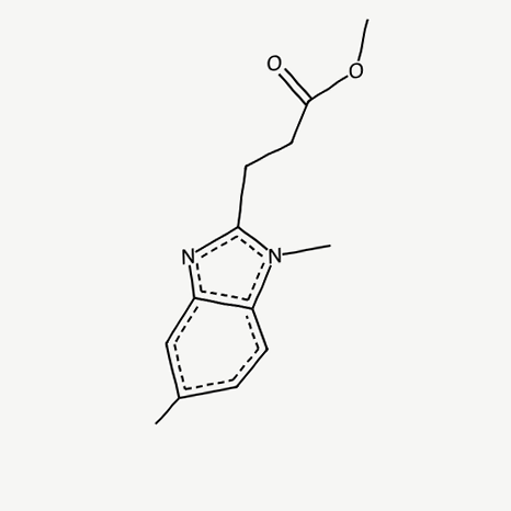 COC(=O)CCc1nc2cc(C)ccc2n1C